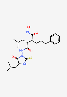 CC(C)CC1NC(=S)N(NC(=O)[C@H](CC(C)C)[C@H](CCCc2ccccc2)C(=O)NO)C1=O